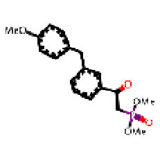 COc1ccc(Cc2cccc(C(=O)CP(=O)(OC)OC)c2)cc1